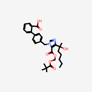 CCCCCC(C)(O)c1ncn(Cc2ccc(-c3ccccc3C(=O)O)cc2)c1C(=O)OCOC(=O)C(C)(C)C